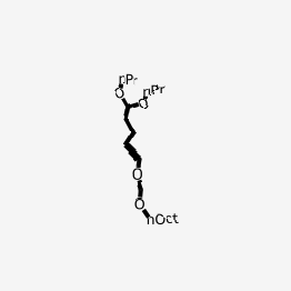 CCCCCCCCOCOC=CCCC(OCCC)OCCC